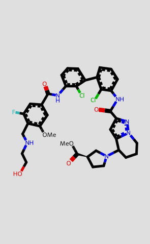 COC(=O)[C@@H]1CCN(C2CCCn3nc(C(=O)Nc4cccc(-c5cccc(NC(=O)c6cc(F)c(CNCCO)c(OC)c6)c5Cl)c4Cl)cc32)C1